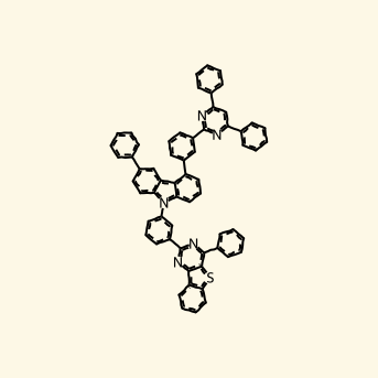 c1ccc(-c2ccc3c(c2)c2c(-c4cccc(-c5nc(-c6ccccc6)cc(-c6ccccc6)n5)c4)cccc2n3-c2cccc(-c3nc(-c4ccccc4)c4sc5ccccc5c4n3)c2)cc1